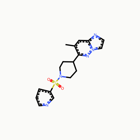 Cc1cc2nccn2nc1C1CCN(S(=O)(=O)c2cccnc2)CC1